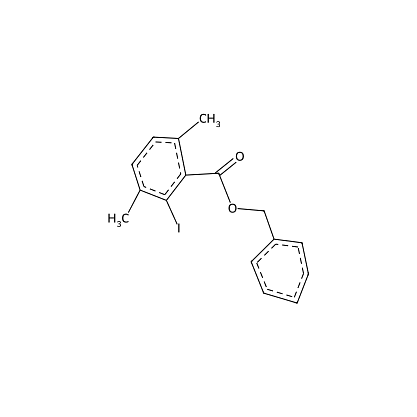 Cc1ccc(C)c(C(=O)OCc2ccccc2)c1I